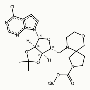 CC(C)(C)OC(=O)N1CCC2(COCCN2C[C@H]2O[C@@H](n3ccc4c(Cl)ncnc43)[C@@H]3OC(C)(C)O[C@@H]32)C1